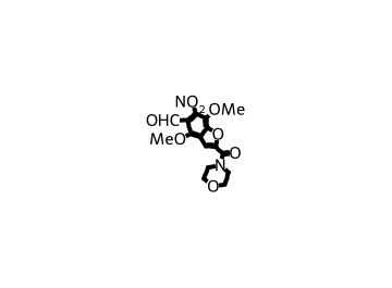 COc1c(C=O)c([N+](=O)[O-])c(OC)c2oc(C(=O)N3CCOCC3)cc12